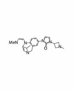 CN/C=C\N1C2=CN(Cc3cc(-n4ccn(C5CN(C)C5)c4=O)ccc31)C2C